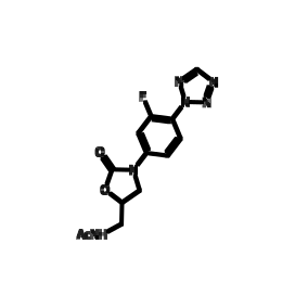 CC(=O)NCC1CN(c2ccc(-n3ncnn3)c(F)c2)C(=O)O1